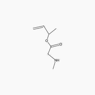 C=CC(C)OC(=O)CNC